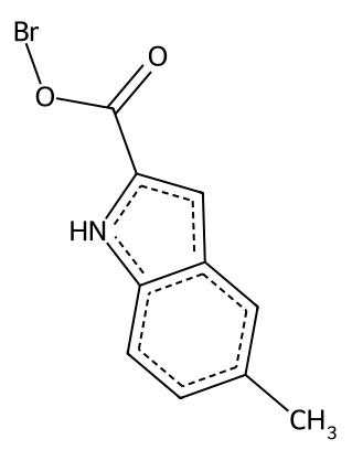 Cc1ccc2[nH]c(C(=O)OBr)cc2c1